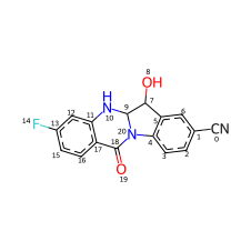 N#Cc1ccc2c(c1)C(O)C1Nc3cc(F)ccc3C(=O)N21